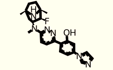 CN(c1ccc(-c2ccc(-n3ccnc3)cc2O)nn1)[C@H]1C[C@]2(C)CC[C@@](C)(N2)[C@H]1F